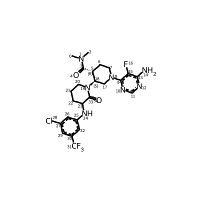 CN(C)C(=O)[C@@H]1CCN(c2ncnc(N)c2F)C[C@H]1N1CCCC(Nc2cc(Cl)cc(C(F)(F)F)c2)C1=O